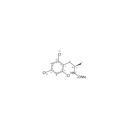 CON[C@H](C)Cc1c(Cl)cc(Cl)cc1Cl